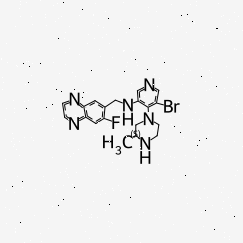 C[C@H]1CN(c2c(Br)cncc2NCc2cc3nccnc3cc2F)CCN1